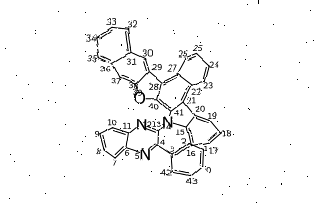 c1ccc(-c2nc3ccccc3nc2-n2c3ccccc3c3c4ccccc4c4c5cc6ccccc6cc5oc4c32)cc1